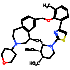 CO[C@@H]1CN(c2nc(-c3cccc(C)c3OCc3ccc4c(c3)[C@@H](C)CN(C3CCOCC3)CC4)cs2)CC[C@@H]1C(=O)O